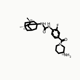 C[C@]12CC3CC(NC(=O)Nc4ccc(C(=O)N5CCC[C@H](N)C5)cc4F)(C1)C[C@@](C)(C3)C2